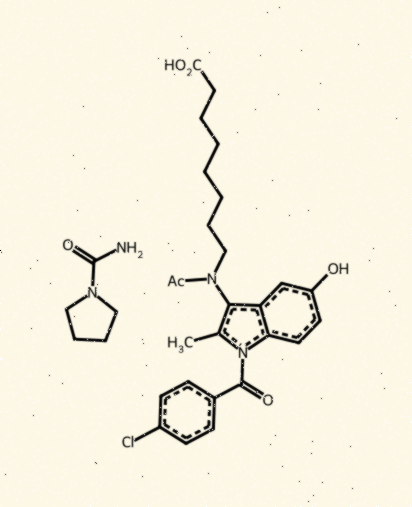 CC(=O)N(CCCCCCCC(=O)O)c1c(C)n(C(=O)c2ccc(Cl)cc2)c2ccc(O)cc12.NC(=O)N1CCCC1